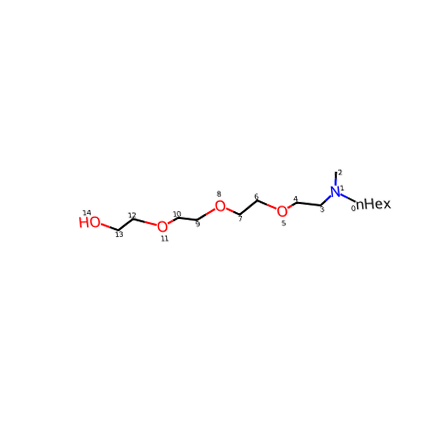 CCCCCCN(C)CCOCCOCCOCCO